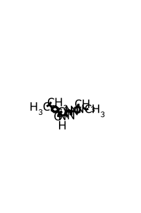 CCCN1CCN(c2ncc(NS(=O)(=O)c3ccc(C(C)C)cc3)cn2)CC1C